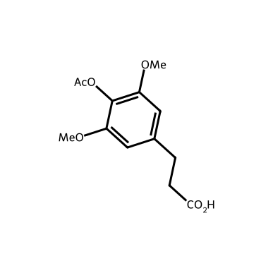 COc1cc(CCC(=O)O)cc(OC)c1OC(C)=O